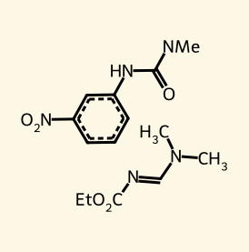 CCOC(=O)N=CN(C)C.CNC(=O)Nc1cccc([N+](=O)[O-])c1